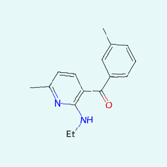 CCNc1nc(C)ccc1C(=O)c1cccc(C)c1